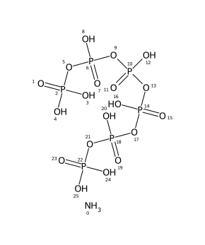 N.O=P(O)(O)OP(=O)(O)OP(=O)(O)OP(=O)(O)OP(=O)(O)OP(=O)(O)O